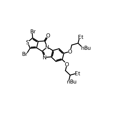 CCCCC(CC)COc1cc2nc3n(c2cc1OCC(CC)CCCC)C(=O)c1c(Br)sc(Br)c1-3